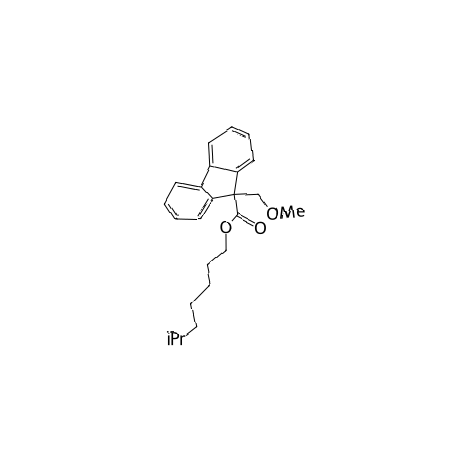 COCC1(C(=O)OCCCCCC(C)C)c2ccccc2-c2ccccc21